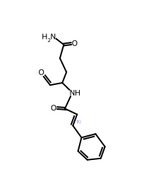 NC(=O)CCC(C=O)NC(=O)/C=C/c1ccccc1